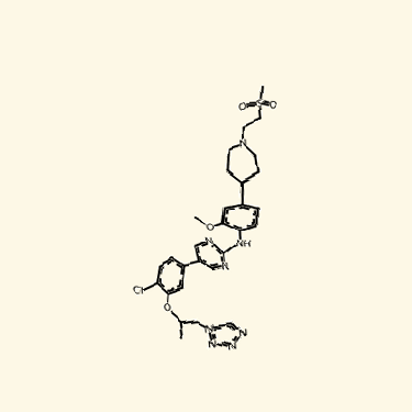 COc1cc(C2CCN(CCS(C)(=O)=O)CC2)ccc1Nc1ncc(-c2ccc(Cl)c(OC(C)Cn3cnnn3)c2)cn1